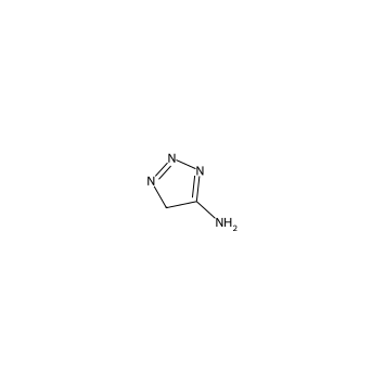 NC1=NN=NC1